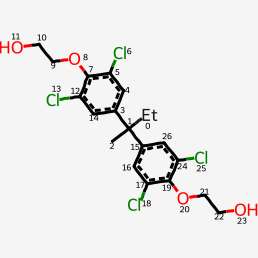 CCC(C)(c1cc(Cl)c(OCCO)c(Cl)c1)c1cc(Cl)c(OCCO)c(Cl)c1